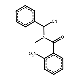 CN(C(=O)c1ccccc1[N+](=O)[O-])C(C#N)c1ccccc1